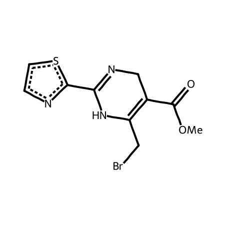 COC(=O)C1=C(CBr)NC(c2nccs2)=NC1